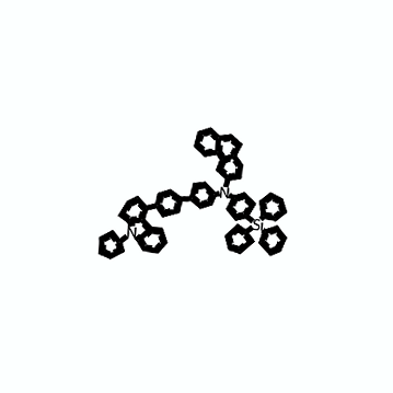 c1ccc(-n2c3ccccc3c3c(-c4ccc(-c5ccc(N(c6ccc([Si](c7ccccc7)(c7ccccc7)c7ccccc7)cc6)c6ccc7ccc8ccccc8c7c6)cc5)cc4)cccc32)cc1